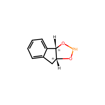 c1ccc2c(c1)C[C@H]1OPO[C@@H]21